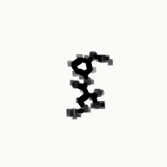 COC=C(C(=O)O)C(=O)Oc1cccc(OC)c1